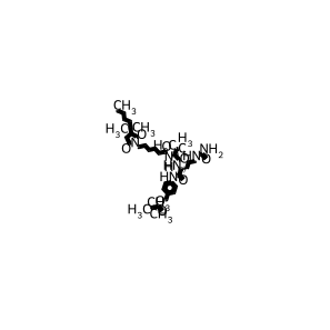 CCCCCC(C)(C)C1CC(=O)N(CCCCCC(=O)N[C@H](C(=O)N[C@@H](CCCNC(N)=O)C(=O)Nc2ccc(COC(=O)C(C)(C)C)cc2)C(C)C)C1=O